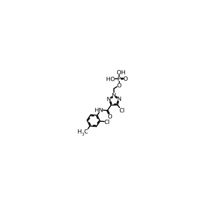 Cc1ccc(NC(=O)c2nn(COP(=O)(O)O)nc2Cl)c(Cl)c1